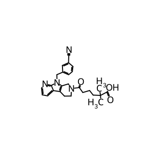 CC(C)(CCCC(=O)N1CCc2c(n(Cc3cccc(C#N)c3)c3ncccc23)C1)C(=O)O